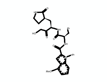 CCCn1c(C(=O)N[C@H](CC(C)C)C(=O)N[C@H](C[C@H]2CCNC2=O)C(=O)CO)cc2c(OC)cccc21